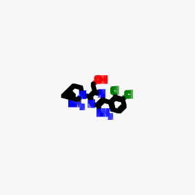 NCC12CCN(c3nc(N)c(-c4cccc(Cl)c4Cl)nc3CO)CC1C2